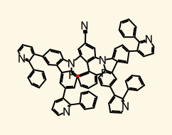 N#Cc1cc(-n2c3ccc(-c4cccnc4-c4ccccc4)cc3c3cc(-c4cccnc4-c4ccccc4)ccc32)c(-c2c(F)cccc2F)c(-n2c3ccc(-c4cccnc4-c4ccccc4)cc3c3cc(-c4cccnc4-c4ccccc4)ccc32)c1